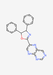 c1ccc(C2N=C(c3cnc4ncncc4n3)OC2c2ccccc2)cc1